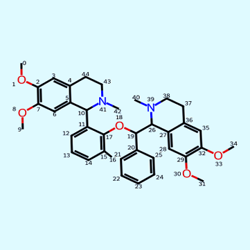 COc1cc2c(cc1OC)C(c1cccc(C)c1OC(c1ccccc1)C1c3cc(OC)c(OC)cc3CCN1C)N(C)CC2